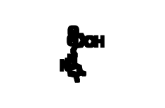 Cc1cc2ncn(CCC3CC(O)CC(=O)O3)c2cc1C